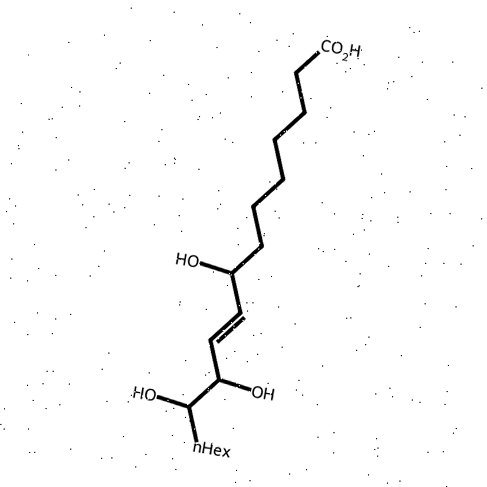 CCCCCCC(O)C(O)/C=C/C(O)CCCCCCC(=O)O